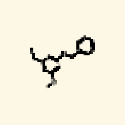 COc1cc(CCl)cc(OCc2ccccc2)c1